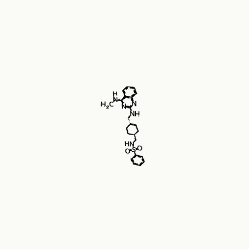 CNc1nc(NC[C@H]2CC[C@H](CNS(=O)(=O)c3ccccc3)CC2)nc2ccccc12